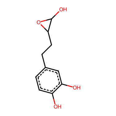 Oc1ccc(CCC2OC2O)cc1O